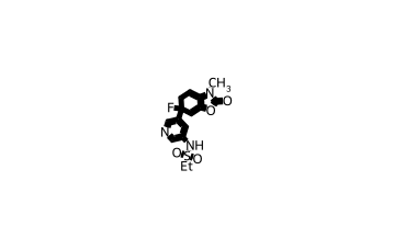 CCS(=O)(=O)Nc1cncc(C2(F)C=c3oc(=O)n(C)c3=CC2)c1